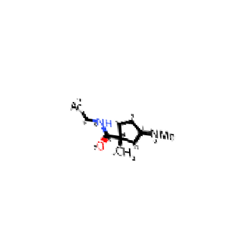 CNC1CCC(C)(C(=O)NCC(C)=O)C1